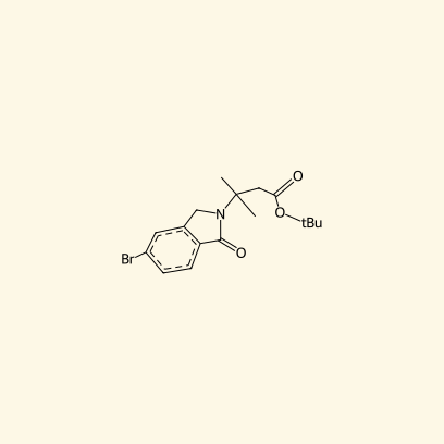 CC(C)(C)OC(=O)CC(C)(C)N1Cc2cc(Br)ccc2C1=O